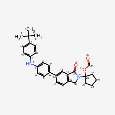 CC(C)(C)c1ccc(Nc2ccc(-c3ccc4c(c3)C(=O)N(C3(OC=O)CCCC3)C4)cc2)cc1